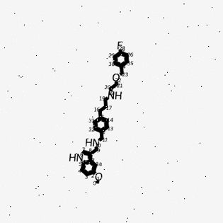 COc1ccc2[nH]cc(CNCc3ccc(CCCNCCOCc4ccc(F)cc4)cc3)c2c1